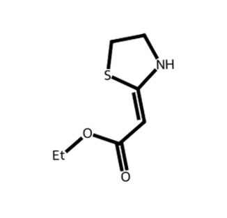 CCOC(=O)C=C1NCCS1